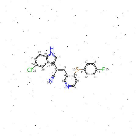 N#CC(=Cc1cnccc1Sc1ccc(F)cc1)c1c[nH]c2ccc(Cl)cc12